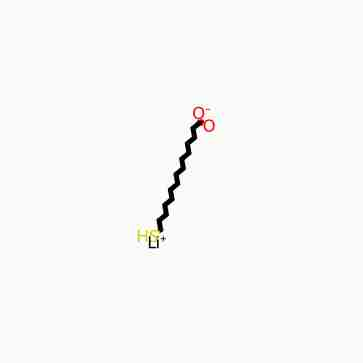 O=C([O-])CCCCCCCCCCCCCCS.[Li+]